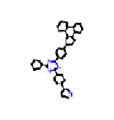 c1ccc(-c2nc(-c3ccc(-c4cccnc4)cc3)nc(-c3ccc(-c4ccc5c6ccccc6c6ccccc6c5c4)cc3)n2)cc1